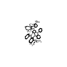 CC(C)(C)c1ccc2c(c1)C1(C)CCCCC1(C)N2c1cc2c3c(c1)N(c1ccccc1)c1cccc4c1B3c1c(cccc1[Si]4(C)C)N2c1ccccc1